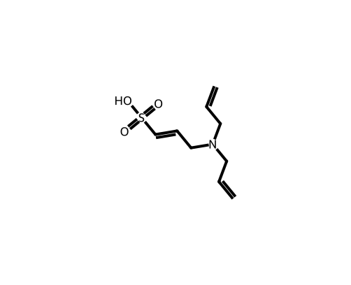 C=CCN(CC=C)CC=CS(=O)(=O)O